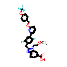 COCCn1c(Cc2cc(F)c(-c3cccc(OCc4ccc(OC(F)(F)F)cc4)n3)cc2F)nc2ccc(C(=O)O)cc21